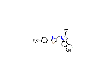 N#Cc1ccc2c(cc(C3CC3)n2Cc2csc(-c3ccc(C(F)(F)F)cc3)n2)c1CF